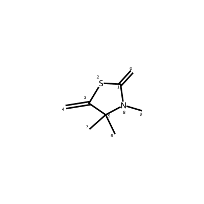 C=C1SC(=C)C(C)(C)N1C